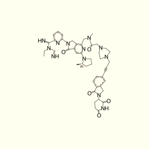 CCN(C=N)C(=N)c1cccc(N2Cc3c(cc(N4CCC[C@H]4C)nc3CN(C)C(=O)CN3CCN(CC#Cc4ccc5c(c4)CN(C4CCC(=O)NC4=O)C5=O)CC3)C2=O)n1